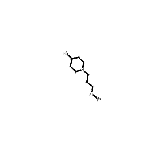 CCC(C)OCCCN1CCC(O)CC1